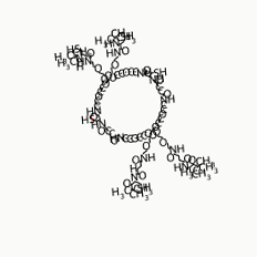 CCC(NC(=O)CCC(=O)NCCOCCOC1(OCCOCCNC(=O)CCC(=O)NC(CS)C(=O)C(C)(C)C)OCCOCCNC(=O)CCC(=O)NC(CS)C(=O)NCCOCCOC(OCCOCCNC(=O)C(CS)NC(C)(C)C)(OCCOCCNC(=O)C(CS)NC(C)(C)C)OCCOCCNC(=O)C(CS)NC(=O)CCC(=O)NCCOCCO1)C(=O)C(C)(C)C